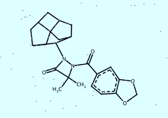 CC1(C)C(=O)N(C2C3CC4CC5CC2CC45C3)N1C(=O)c1ccc2c(c1)OCO2